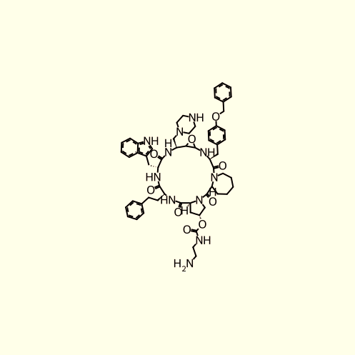 NCCNC(=O)O[C@@H]1C[C@H]2C(=O)N[C@@H](CCc3ccccc3)C(=O)N[C@H](Cc3c[nH]c4ccccc34)C(=O)N[C@@H](CN3CCNCC3)C3OC3N[C@@H](Cc3ccc(OCc4ccccc4)cc3)C(=O)N3CCCCC[C@H]3C(=O)N2C1